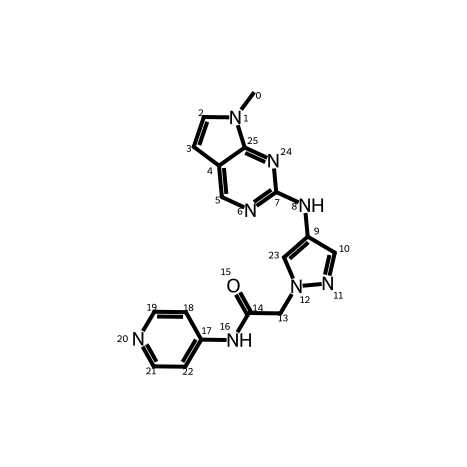 Cn1ccc2cnc(Nc3cnn(CC(=O)Nc4ccncc4)c3)nc21